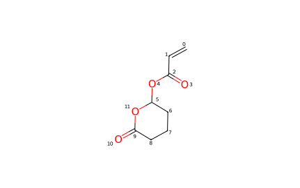 C=CC(=O)OC1CCCC(=O)O1